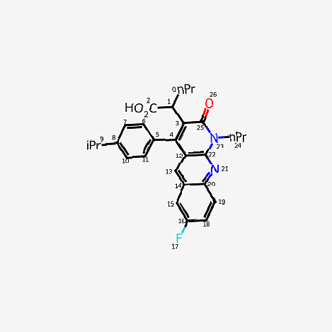 CCCC(C(=O)O)c1c(-c2ccc(C(C)C)cc2)c2cc3cc(F)ccc3nc2n(CCC)c1=O